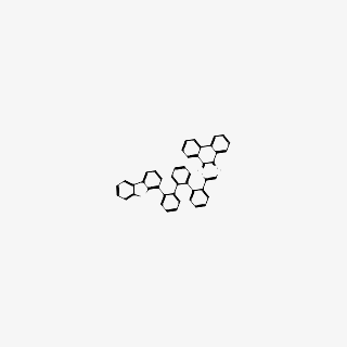 c1ccc(-c2ccccc2-c2ccccc2-c2cccc3c2oc2ccccc23)c(-c2cnc3c4ccccc4c4ccccc4c3n2)c1